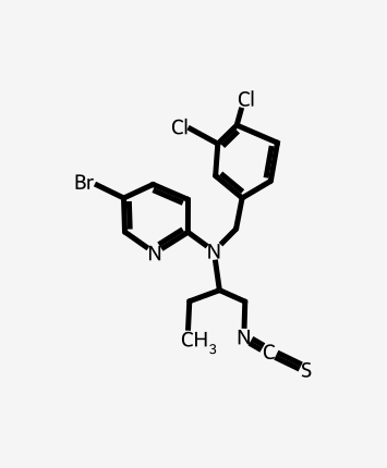 CCC(CN=C=S)N(Cc1ccc(Cl)c(Cl)c1)c1ccc(Br)cn1